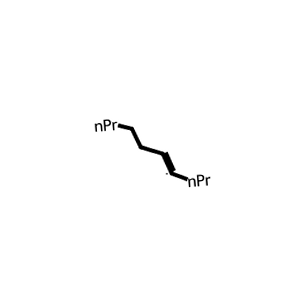 [CH2]CC[C]=CCCCCC